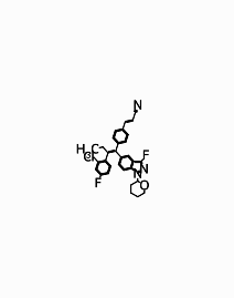 CCC(=C(c1ccc(C=CC#N)cc1)c1ccc2c(c1)c(F)nn2C1CCCCO1)c1ccc(F)cc1Cl